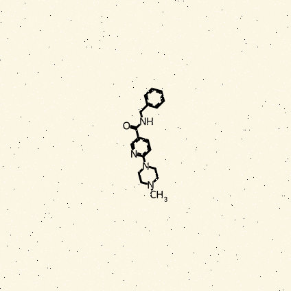 CN1CCN(c2ccc(C(=O)NCc3ccccc3)cn2)CC1